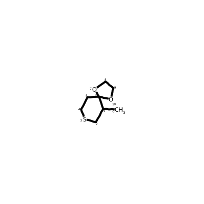 CC1CSCCC12OCCO2